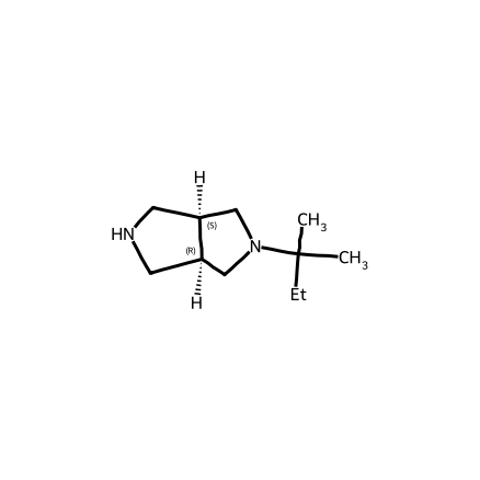 CCC(C)(C)N1C[C@H]2CNC[C@H]2C1